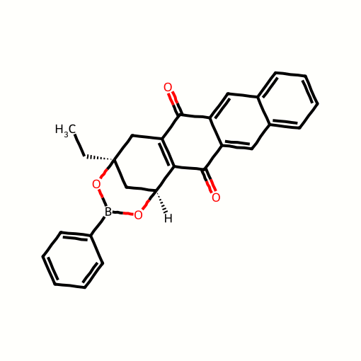 CC[C@]12CC3=C(C(=O)c4cc5ccccc5cc4C3=O)[C@H](C1)OB(c1ccccc1)O2